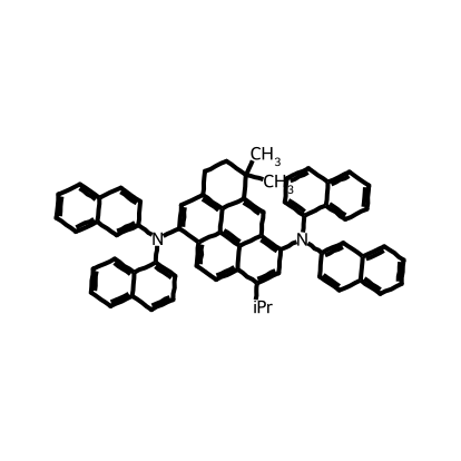 CC(C)c1cc(N(c2ccc3ccccc3c2)c2cccc3ccccc23)c2cc3c4c(cc(N(c5ccc6ccccc6c5)c5cccc6ccccc56)c5ccc1c2c54)CCC3(C)C